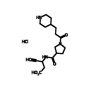 C#CC(CC(=O)O)NC(=O)C1CCN(C(=O)CCC2CCNCC2)C1.Cl